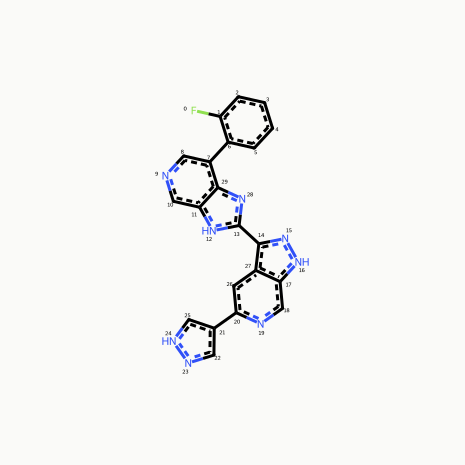 Fc1ccccc1-c1cncc2[nH]c(-c3n[nH]c4cnc(-c5cn[nH]c5)cc34)nc12